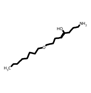 CCCCCCCCOCCCC=C(O)CCCN